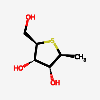 C[C@@H]1S[C@H](CO)[C@@H](O)[C@H]1O